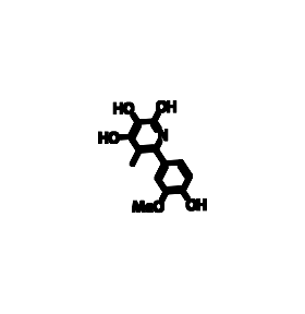 COc1cc(-c2nc(O)c(O)c(O)c2C)ccc1O